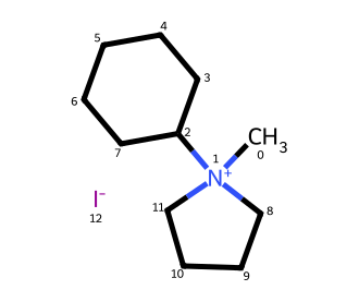 C[N+]1(C2CCCCC2)CCCC1.[I-]